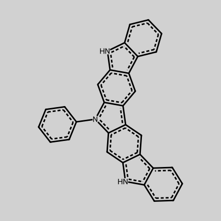 c1ccc(-n2c3cc4[nH]c5ccccc5c4cc3c3cc4c(cc32)[nH]c2ccccc24)cc1